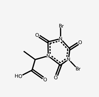 CC(C(=O)O)n1c(=O)n(Br)c(=O)n(Br)c1=O